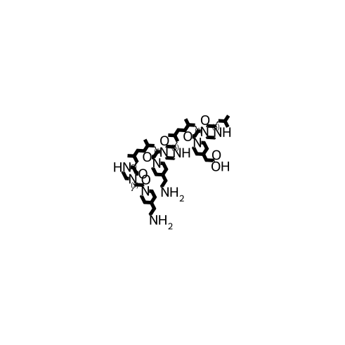 CC(C)C[C@@H]1NCCN([C@@H](CC(C)CCC(C)C[C@@H]2NCCN([C@@H](CC(C)CCC(C)C[C@@H]3NCCN([C@@H](C)C(=O)N4CCC(CCN)CC4)C3=O)C(=O)N3CCC(CCN)CC3)C2=O)C(=O)N2CCC(CC(=O)O)CC2)C1=O